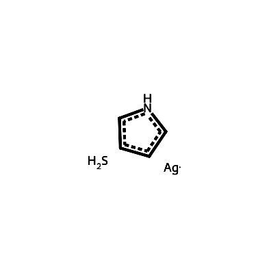 S.[Ag].c1cc[nH]c1